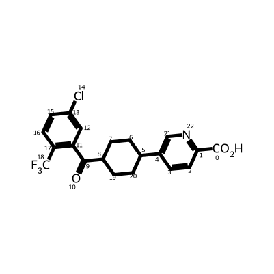 O=C(O)c1ccc(C2CCC(C(=O)c3cc(Cl)ccc3C(F)(F)F)CC2)cn1